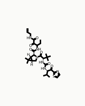 C=CCNC(=O)C(=O)C(CC)NC(=O)[C@@H]1[C@@H]2[C@H](CN1C(=O)[C@@H](NC(=O)N[C@H](C(=O)c1nccs1)C(C)C)C(C)(C)C)C2(C)C